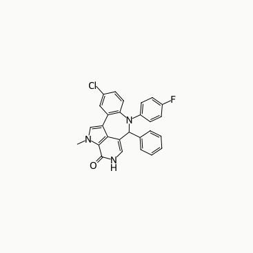 Cn1cc2c3c(c[nH]c(=O)c31)C(c1ccccc1)N(c1ccc(F)cc1)c1ccc(Cl)cc1-2